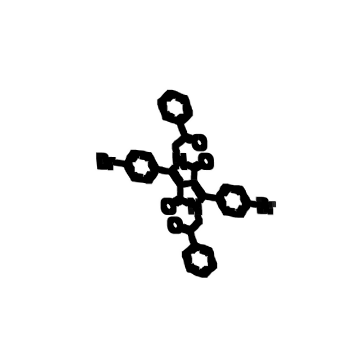 O=C(CN1C(=O)C2=C(c3ccc(Br)cc3)N(CC(=O)c3ccccc3)C(=O)C2=C1c1ccc(Br)cc1)c1ccccc1